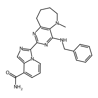 CN1CCCCc2nc(-c3ncc4c(C(N)=O)cccn34)nc(NCc3ccccc3)c21